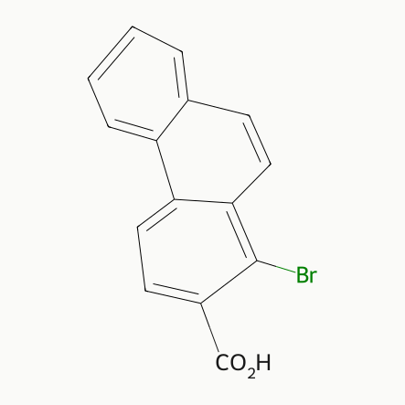 O=C(O)c1ccc2c(ccc3ccccc32)c1Br